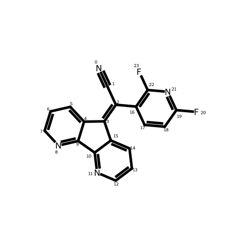 N#CC(=C1c2cccnc2-c2ncccc21)c1ccc(F)nc1F